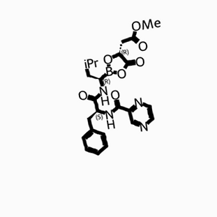 COC(=O)C[C@H]1OB([C@H](CC(C)C)NC(=O)[C@H](Cc2ccccc2)NC(=O)c2cnccn2)OC1=O